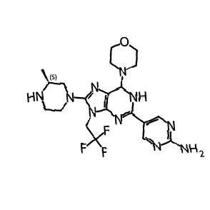 C[C@H]1CN(c2nc3c(n2CC(F)(F)F)N=C(c2cnc(N)nc2)NC3N2CCOCC2)CCN1